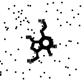 CCOc1ccc(Br)c2c1B(O)O[C@@H]2CN.Cl